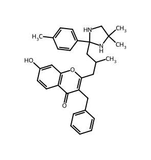 Cc1ccc(C2(CC(C)Cc3oc4cc(O)ccc4c(=O)c3Cc3ccccc3)NCC(C)(C)N2)cc1